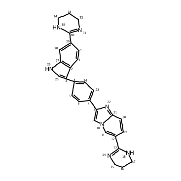 c1cc2c(-c3ccc(-c4cn5cc(C6=NCCCN6)ccc5n4)cc3)c[nH]c2cc1C1=NCCCN1